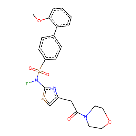 COc1ccccc1-c1ccc(S(=O)(=O)N(F)c2nc(CC(=O)N3CCOCC3)cs2)cc1